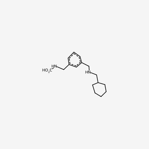 O=C(O)NCc1cccc(CNCC2CCCCC2)c1